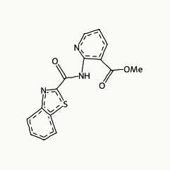 COC(=O)c1cccnc1NC(=O)c1nc2ccccc2s1